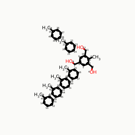 Cc1c(CO)cc(CO)cc1CO.Cc1ccccc1.Cc1ccccc1.Cc1ccccc1.Cc1ccccc1.Cc1ccccc1.Cc1ccccc1